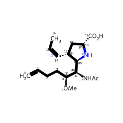 C=CCC[C@H](OC)[C@H](NC(C)=O)[C@@H]1N[C@@H](C(=O)O)C[C@H]1/C=C\C